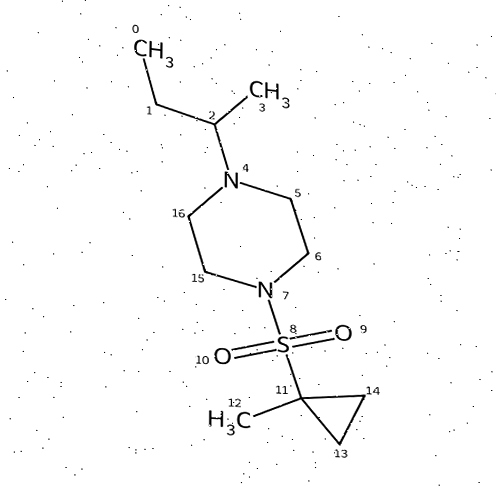 CCC(C)N1CCN(S(=O)(=O)C2(C)CC2)CC1